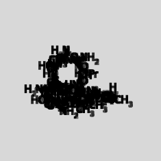 Cc1cc2c(F)c(Oc3ncnn4cc(OC[C@@H](C)OC(=O)C(C)(C)CC(=O)N[C@@H](CCN)C(=O)N[C@H](C(=O)N[C@@H](CCN)C(=O)N[C@H]5CCNC(=O)[C@H]([C@@H](C)O)NC(=O)[C@H](CCN)NC(=O)C(CCN)NC(=O)[C@H](CC(C)C)NC(=O)[C@@H](Cc6ccccc6)NC(=O)[C@H](CCN)NC5=O)[C@@H](C)O)c(C)c34)ccc2[nH]1